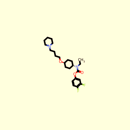 CCN(C(=O)Oc1ccc(F)c(F)c1)[C@H]1CC[C@H](OCCCCN2CCCCC2)CC1